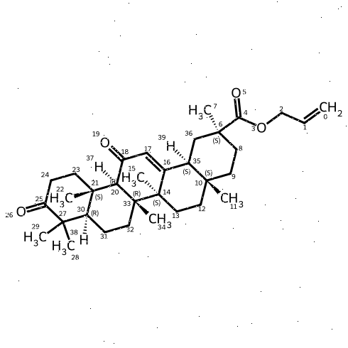 C=CCOC(=O)[C@@]1(C)CC[C@]2(C)CC[C@]3(C)C(=CC(=O)[C@@H]4[C@@]5(C)CCC(=O)C(C)(C)[C@@H]5CC[C@]43C)[C@H]2C1